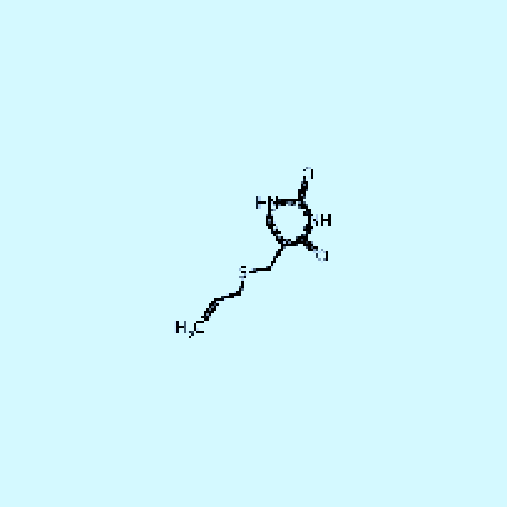 C=CCSCc1c[nH]c(=O)[nH]c1=O